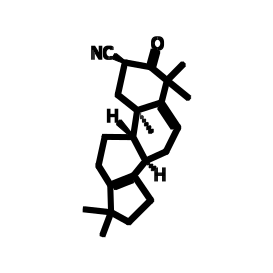 CC1(C)CCC2=C1CC[C@H]1[C@H]2CC=C2C(C)(C)C(=O)[C@H](C#N)C[C@@]21C